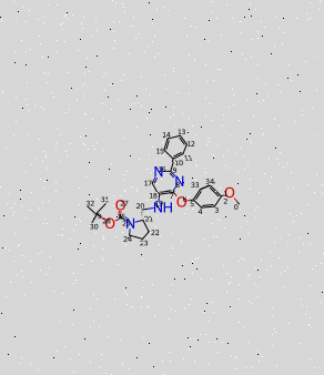 COc1ccc(Oc2nc(-c3ccccc3)ncc2NC[C@@H]2CCCN2C(=O)OC(C)(C)C)cc1